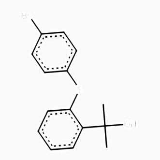 CC(C)(O)c1ccccc1Sc1ccc(Br)cc1